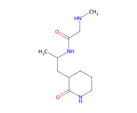 CNCC(=O)NC(C)CC1CCCNC1=O